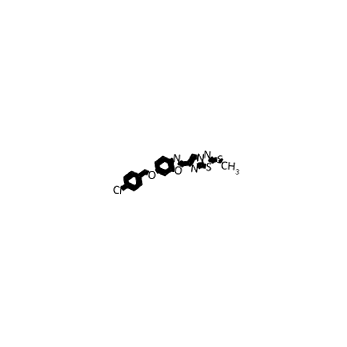 CSc1nn2cc(-c3nc4ccc(OCc5ccc(Cl)cc5)cc4o3)nc2s1